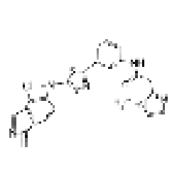 Cn1ccnc1CC(=O)Nc1cccc(-c2nnc(Nc3ccc4[nH]ncc4c3Cl)s2)c1